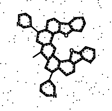 Cc1c2cc(-c3cccnc3)c3ccc4c5ccccc5oc4c3c2cc2c1cc(-c1cccnc1)c1ccc3c4ccccc4oc3c12